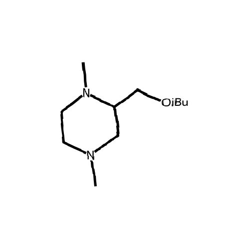 CC(C)COCC1CN(C)CCN1C